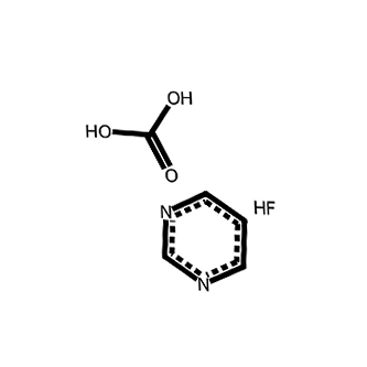 F.O=C(O)O.c1cncnc1